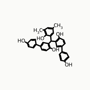 Cc1cc(C)c(O)c(C(c2cc(-c3ccc(O)cc3)ccc2O)c2cc(-c3ccc(O)cc3)ccc2O)c1